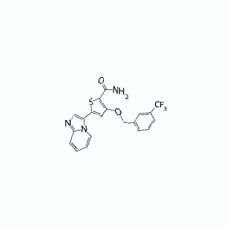 NC(=O)c1sc(-c2cnc3ccccn23)cc1OCc1cccc(C(F)(F)F)c1